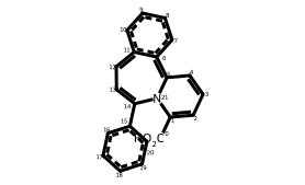 O=C(O)C1=CC=CC2=c3ccccc3=CC=C(c3ccccc3)N12